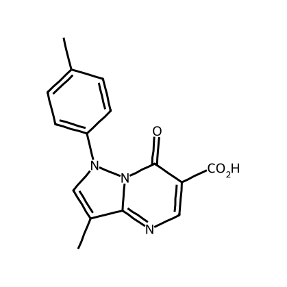 Cc1ccc(-n2cc(C)c3ncc(C(=O)O)c(=O)n32)cc1